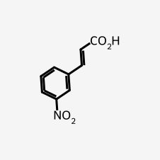 O=C(O)/C=C/C1=CC([N+](=O)[O-])=C=C=C1